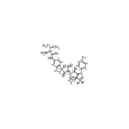 CC(C)[C@H](N)C(=O)Nc1ccc2c(c1)CCC21OC(=O)N(C(C)C(=O)N(Cc2ccc(F)cc2)[C@H](C2CC2)C(F)(F)F)C1=O